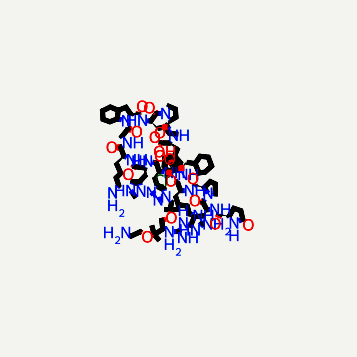 CCCC[C@H](NC(=O)[C@@H]1CC2CCCCC2N1C(=O)CNC(=O)[C@H](CCCCN)NC(=O)[C@H](Cc1c[nH]cn1)NC(=O)[C@H](Cc1cn(CC(C)(C)OCCC(C)(C)OCCN)nn1)NC(=O)[C@H](CC1CCCCC1)NC(=O)[C@H](CCCCNC(=N)N)NC(=O)[C@@H]1CCCN1C(=O)[C@H](CCCNC(=N)N)NC(=O)[C@@H]1CCC(=O)N1)C(=O)N1CCC[C@H]1C(=O)N[C@@H](Cc1ccc(Cl)cc1)C(=O)O